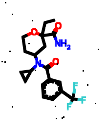 CCC1(C(N)=O)CC(N(C(=O)c2cccc(C(F)(F)F)c2)C2CC2)CCO1